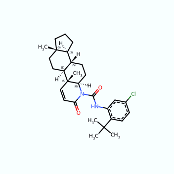 CC(C)(C)c1ccc(Cl)cc1NC(=O)N1C(=O)C=C[C@]2(C)[C@H]3CC[C@]4(C)CCC[C@H]4[C@@H]3CC[C@@H]12